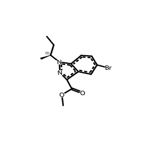 CC[C@H](C)n1nc(C(=O)OC)c2cc(Br)ccc21